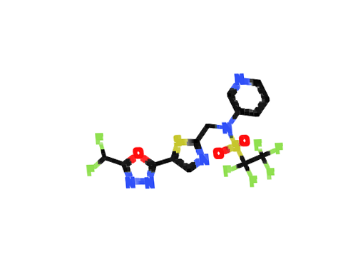 O=S(=O)(N(Cc1ncc(-c2nnc(C(F)F)o2)s1)c1cccnc1)C(F)(F)C(F)(F)F